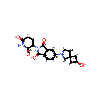 O=C1CCC(N2C(=O)c3ccc(N4CCC5(CC(O)C5)C4)cc3C2=O)C(=O)N1